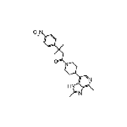 Cc1nc2c(C)ncc(C3CCN(C(=O)CC(C)(C)c4ccc([N+](=O)[O-])cc4)CC3)c2[nH]1